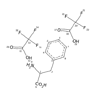 NC(Cc1ccccc1)C(=O)O.O=C(O)C(F)(F)F.O=C(O)C(F)(F)F